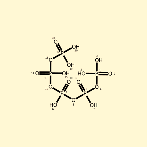 O=P(O)(O)OP(=O)(O)OP(=O)(O)OP(=O)(O)OP(=O)(O)O